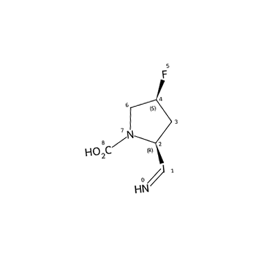 N=I[C@@H]1C[C@H](F)CN1C(=O)O